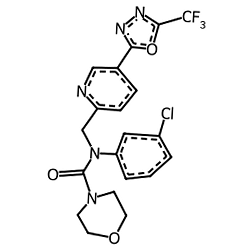 O=C(N1CCOCC1)N(Cc1ccc(-c2nnc(C(F)(F)F)o2)cn1)c1cccc(Cl)c1